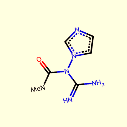 CNC(=O)N(C(=N)N)n1ccnc1